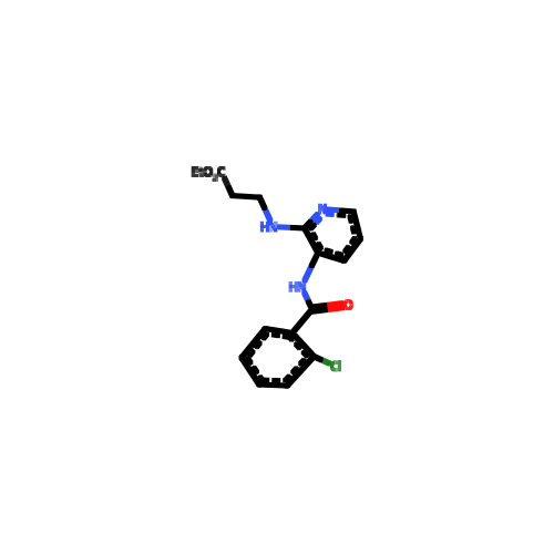 CCOC(=O)CCNc1ncccc1NC(=O)c1ccccc1Cl